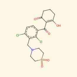 O=C1CCCC(O)=C1C(=O)c1ccc(Cl)c(CN2CCS(=O)(=O)CC2)c1Cl